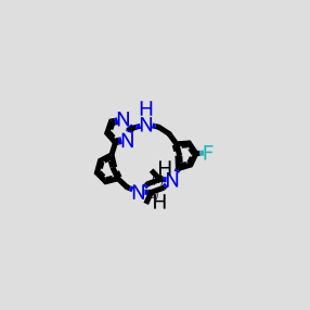 C[C@H]1CN2c3cc(F)cc(c3)CCNc3nccc(n3)-c3cccc(c3)CN1C[C@@H]2C